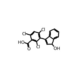 O=C(O)c1c(Cl)cc(Cl)c(C2=CC(O)c3ccccc32)c1Cl